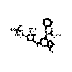 CC(C)c1cnn2c(N(Cc3ccccc3)C(=O)OC(C)(C)C)cc(NC3CC(CO[Si](C)(C)C(C)(C)C)N(C(=O)O)C3)nc12